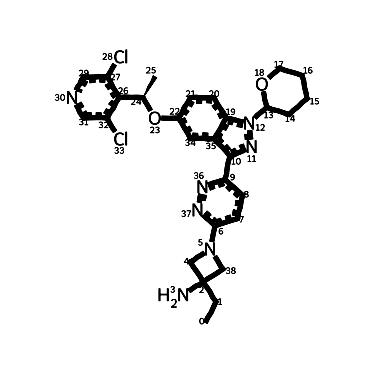 CCC1(N)CN(c2ccc(-c3nn(C4CCCCO4)c4ccc(O[C@H](C)c5c(Cl)cncc5Cl)cc34)nn2)C1